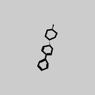 C[C@H]1CC[C@H](C2C=CC(c3ccccc3)=CC2)CC1